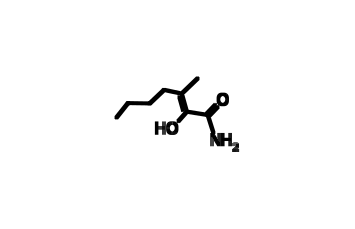 CCCCC(C)=C(O)C(N)=O